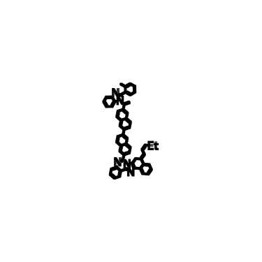 C=C(c1ccc2cc(-c3ccc4cc(-c5nc6ccccc6c6nc7c(n56)C/C(=C\C=C/CC)c5ccccc5-7)ccc4c3)ccc2c1)n1c(-c2ccccc2C)nc2ccccc21